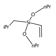 C=C[Si](CC(C)C)(OCCC)OCCC